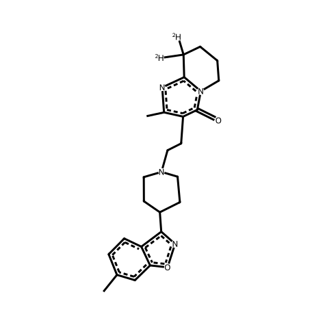 [2H]C1([2H])CCCn2c1nc(C)c(CCN1CCC(c3noc4cc(C)ccc34)CC1)c2=O